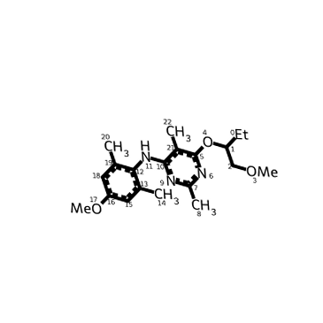 CCC(COC)Oc1nc(C)nc(Nc2c(C)cc(OC)cc2C)c1C